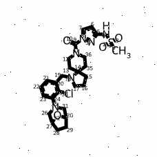 CS(=O)(=O)Nc1ccn(C(=O)N2CCC3(CCCN3Cc3cccc(N4CC5CCC(C4)O5)c3Cl)CC2)n1